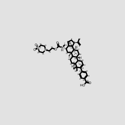 C=C(C)[C@@H]1CC[C@]2(CNC(=O)OCCN3CCS(=O)(=O)CC3)CC[C@]3(C)[C@H](CC[C@@H]4[C@@]5(C)CC=C(c6ccc(C(=O)O)cc6)C(C)(C)[C@@H]5CC[C@]43C)[C@@H]12